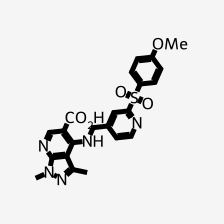 COc1ccc(S(=O)(=O)c2cc(CNc3c(C(=O)O)cnc4c3c(C)nn4C)ccn2)cc1